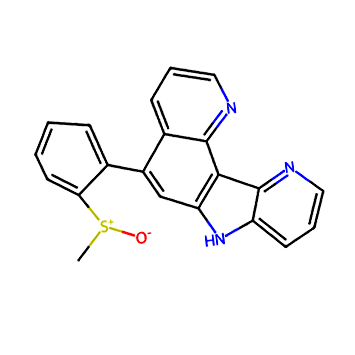 C[S+]([O-])c1ccccc1-c1cc2[nH]c3cccnc3c2c2ncccc12